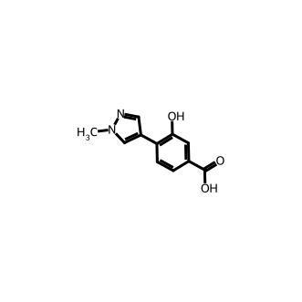 Cn1cc(-c2ccc(C(=O)O)cc2O)cn1